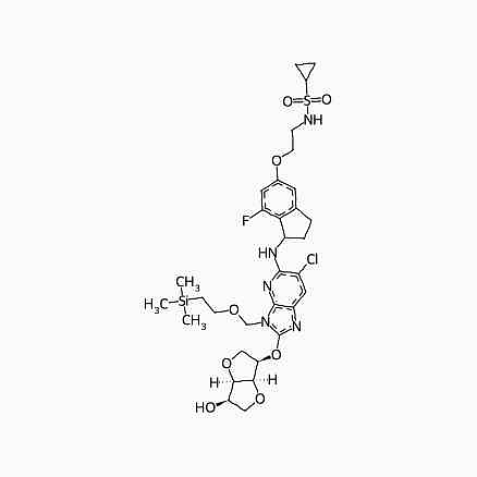 C[Si](C)(C)CCOCn1c(O[C@@H]2CO[C@H]3[C@@H]2OC[C@H]3O)nc2cc(Cl)c(NC3CCc4cc(OCCNS(=O)(=O)C5CC5)cc(F)c43)nc21